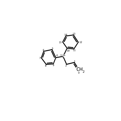 C=CC[I+](c1ccccc1)c1ccccc1